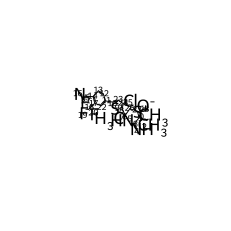 CC1(C)C(=N)N[C@](C)(c2sc(-c3ccc(C#N)c(C(F)(F)F)c3)cc2Cl)C[S+]1[O-]